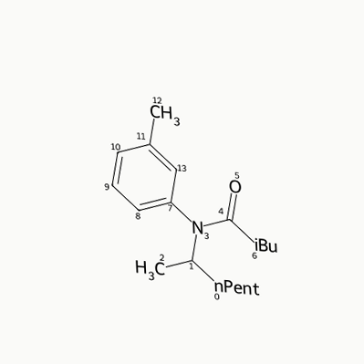 CCCCCC(C)N(C(=O)C(C)CC)c1cccc(C)c1